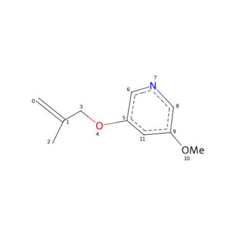 C=C(C)COc1cncc(OC)c1